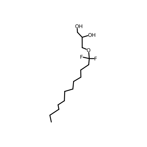 CCCCCCCCCCCC(F)(F)OCC(O)CO